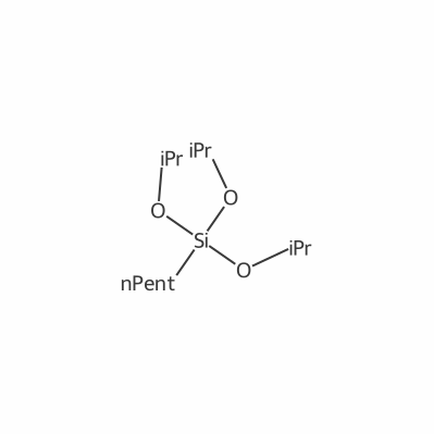 CCCCC[Si](OC(C)C)(OC(C)C)OC(C)C